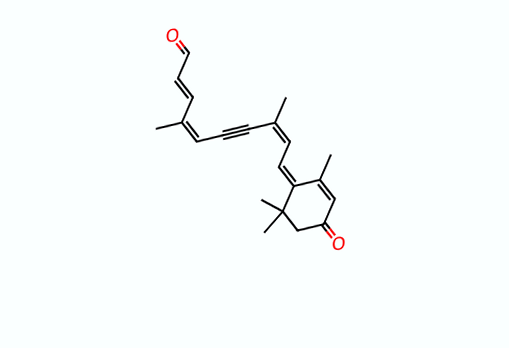 CC(C#CC=C(C)C=CC=O)=CC=C1C(C)=CC(=O)CC1(C)C